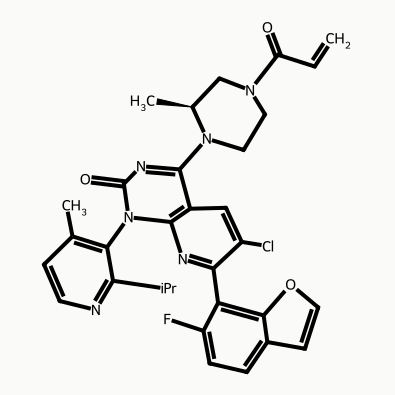 C=CC(=O)N1CCN(c2nc(=O)n(-c3c(C)ccnc3C(C)C)c3nc(-c4c(F)ccc5ccoc45)c(Cl)cc23)[C@@H](C)C1